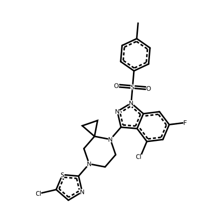 Cc1ccc(S(=O)(=O)n2nc(N3CCN(c4ncc(Cl)s4)CC34CC4)c3c(Cl)cc(F)cc32)cc1